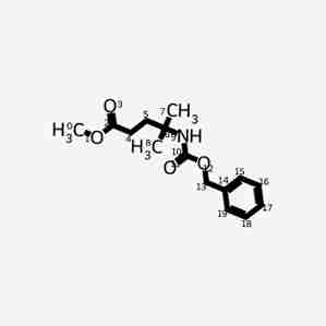 COC(=O)CCC(C)(C)NC(=O)OCc1ccccc1